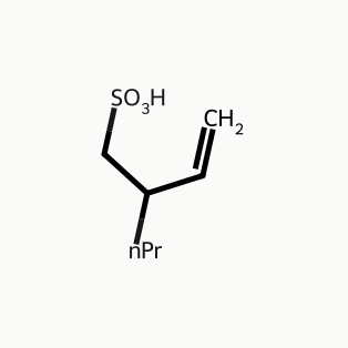 C=CC(CCC)CS(=O)(=O)O